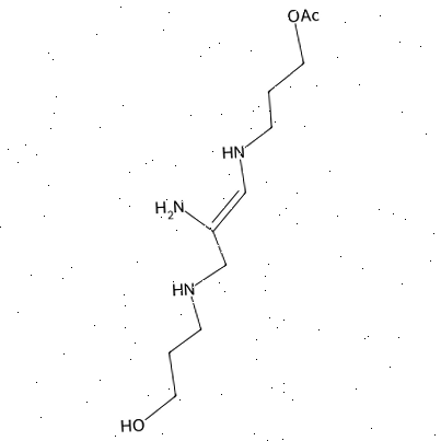 CC(=O)OCCCN/C=C(\N)CNCCCO